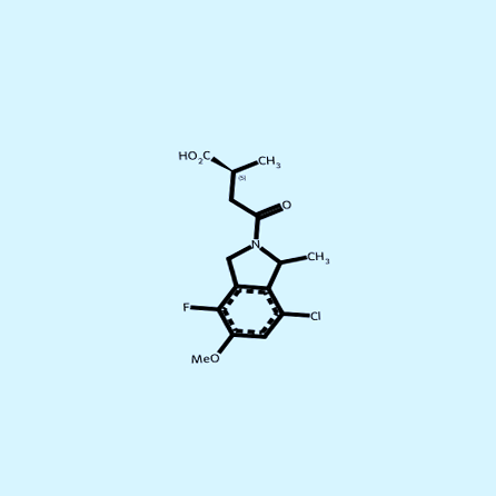 COc1cc(Cl)c2c(c1F)CN(C(=O)C[C@H](C)C(=O)O)C2C